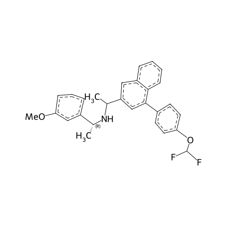 COc1cccc([C@@H](C)NC(C)c2cc(-c3ccc(OC(F)F)cc3)c3ccccc3c2)c1